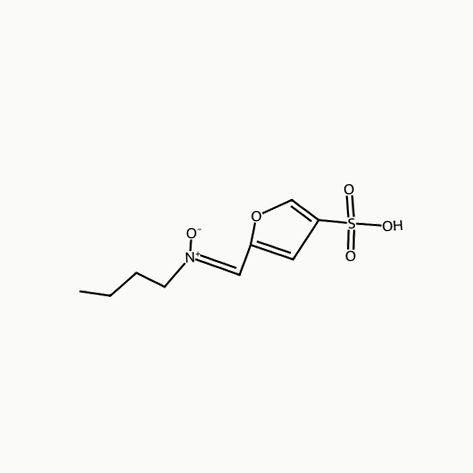 CCCC[N+]([O-])=Cc1cc(S(=O)(=O)O)co1